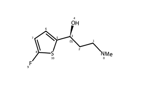 CNCC[C@H](O)c1ccc(F)s1